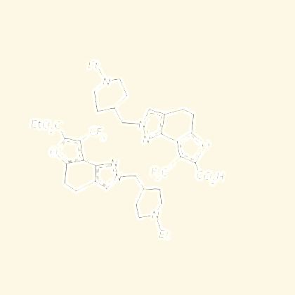 CCN1CCC(Cn2cc3c(n2)-c2c(oc(C(=O)O)c2C(F)(F)F)CC3)CC1.CCOC(=O)c1oc2c(c1C(F)(F)F)-c1nn(CC3CCN(CC)CC3)cc1CC2